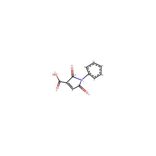 O=C(O)C1=CC(=O)N(c2ccccc2)C1=O